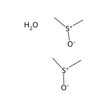 C[S+](C)[O-].C[S+](C)[O-].O